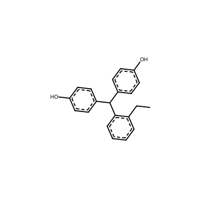 CCc1ccccc1C(c1ccc(O)cc1)c1ccc(O)cc1